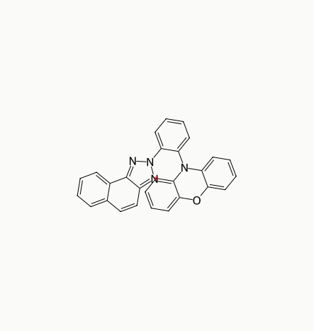 c1ccc2c(c1)Oc1ccccc1N2c1ccccc1-n1nc2ccc3ccccc3c2n1